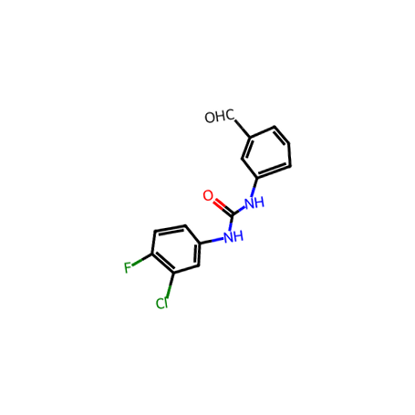 O=Cc1cccc(NC(=O)Nc2ccc(F)c(Cl)c2)c1